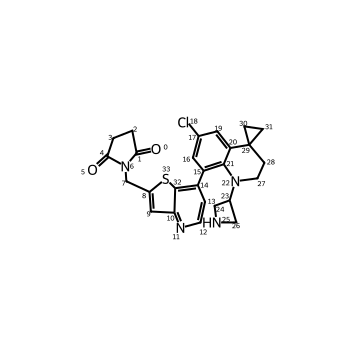 O=C1CCC(=O)N1Cc1cc2nccc(-c3cc(Cl)cc4c3N(C3CNC3)CCC43CC3)c2s1